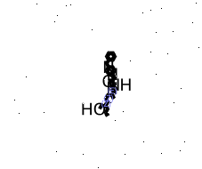 C=CC/C(=C/C=C\C(=C)/C=N/NC(=O)CN1CCN(Cc2ccccc2)CC1)CO